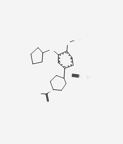 COc1ccc([C@]2(C#N)CC[C@H](C(=O)[O-])CC2)cc1OC1CCCC1.[Li+]